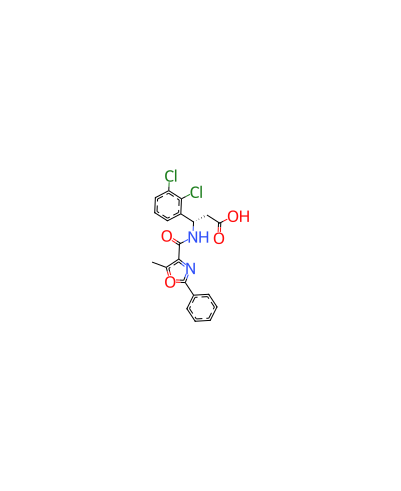 Cc1oc(-c2ccccc2)nc1C(=O)N[C@@H](CC(=O)O)c1cccc(Cl)c1Cl